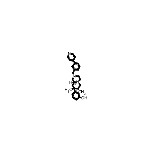 C[C@H]1CN2CCN(Cc3cccc(-c4ccncc4)c3)C[C@H]2CC1(C)c1cccc(O)c1